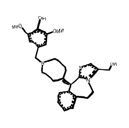 COc1cc(CN2CCC(=C3c4ccccc4CCn4c(CO)cnc43)CC2)cc(OC)c1O